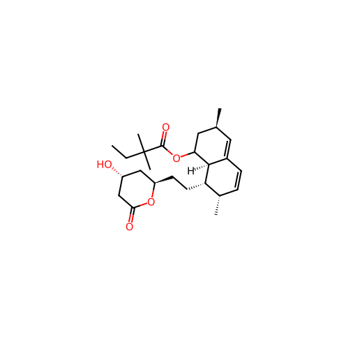 CCC(C)(C)C(=O)OC1C[C@@H](C)C=C2C=C[C@H](C)[C@H](CC[C@@H]3C[C@@H](O)CC(=O)O3)[C@H]21